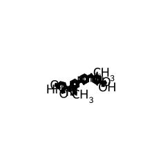 C[C@H]1CN(C(=O)O)CCN1CC1CCN(c2ccc3c(C4CCC(=O)NC4=O)nn(C)c3c2)CC1